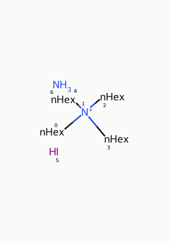 CCCCCC[N+](CCCCCC)(CCCCCC)CCCCCC.I.N